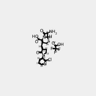 N[C@@H]1C(=O)N2C(C(=O)O)=C(C=C3CCN(c4cccnc4Cl)C3=O)CS[C@H]12.O=C(O)C(F)(F)F